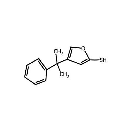 CC(C)(c1ccccc1)c1coc(S)c1